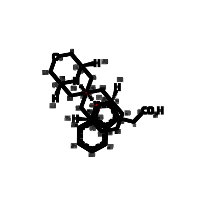 O=C(O)Cc1cn([C@H]2C[C@H]3COC[C@@H](C2)N3[C@H]2C[C@@H]3CCC[C@@H](C3)C2)c2ccccc12